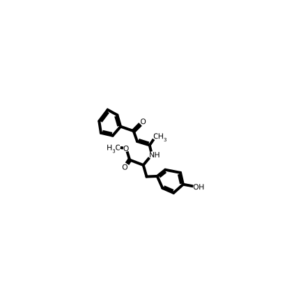 COC(=O)C(Cc1ccc(O)cc1)NC(C)=CC(=O)c1ccccc1